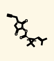 C#CCN1CC(=O)N(OC(=O)[C@@H]2[C@@H](C=C(C)C)C2(C)C)C1=O